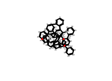 C1=C2c3ccccc3-c3ccc4c(c3)C13C1=C5c6cc7ccc6-c6cccc[n+]6C25/C=C(/c2ccccc2-7)C25/C=C(/c6ccccc6-c6ccc(c(c6)C2)-c2cc(-c6ccccc6)cc[n+]25)C13[n+]1ccccc1-4